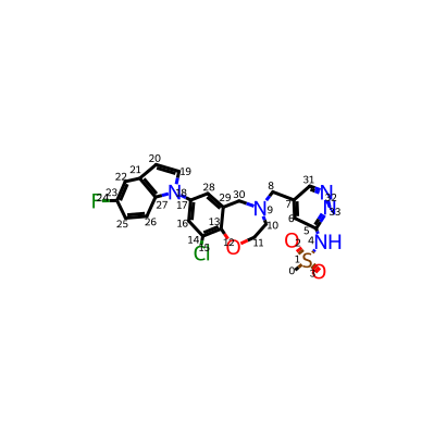 CS(=O)(=O)Nc1cc(CN2CCOc3c(Cl)cc(-n4ccc5cc(F)ccc54)cc3C2)cnn1